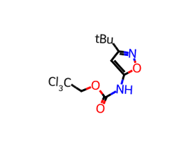 CC(C)(C)c1cc(NC(=O)OCC(Cl)(Cl)Cl)on1